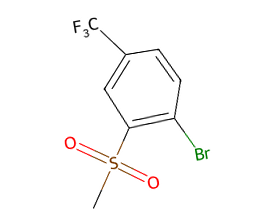 CS(=O)(=O)c1cc(C(F)(F)F)ccc1Br